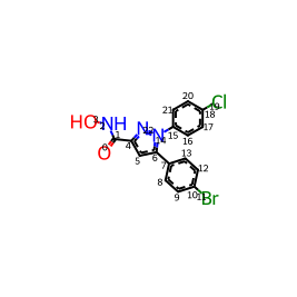 O=C(NO)c1cc(-c2ccc(Br)cc2)n(-c2ccc(Cl)cc2)n1